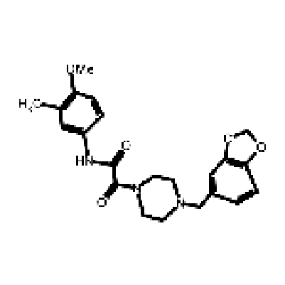 COc1ccc(NC(=O)C(=O)N2CCN(Cc3ccc4c(c3)OCO4)CC2)cc1C